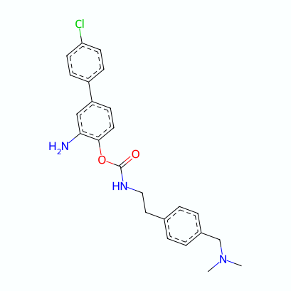 CN(C)Cc1ccc(CCNC(=O)Oc2ccc(-c3ccc(Cl)cc3)cc2N)cc1